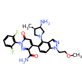 COCCn1ncc2c(N3C[C@@H](C)[C@@H](N)C3)c(-c3cc(=O)n(-c4c(F)cccc4F)nc3C(N)=O)ccc21